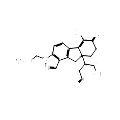 C=CCC(CO)C12CCC(=O)C(CC)=C1c1ccc3c(cnn3COC)c1C2